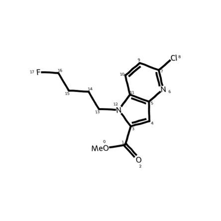 COC(=O)c1cc2nc(Cl)ccc2n1CCCCF